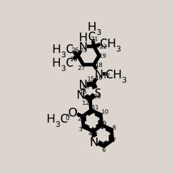 COc1cc2ncccc2cc1-c1nnc(N(C)C2CC(C)(C)NC(C)(C)C2)s1